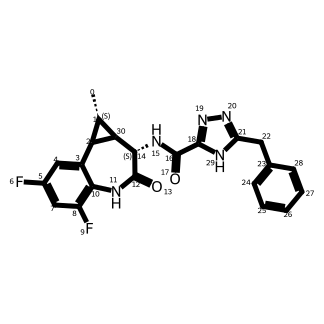 C[C@H]1C2c3cc(F)cc(F)c3NC(=O)[C@@H](NC(=O)c3nnc(Cc4ccccc4)[nH]3)C21